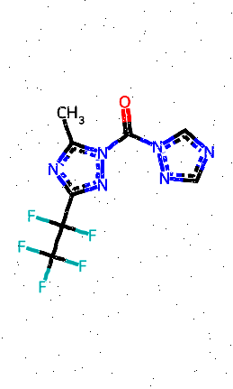 Cc1nc(C(F)(F)C(F)(F)F)nn1C(=O)n1cncn1